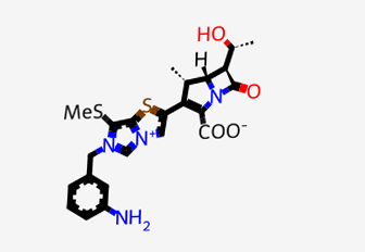 CSc1c2sc(C3=C(C(=O)[O-])N4C(=O)[C@H]([C@@H](C)O)[C@H]4[C@H]3C)c[n+]2cn1Cc1cccc(N)c1